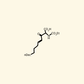 CCCCCCCCCCCCC/C=C/C(=O)C(NC(=O)OCC)C(=O)O